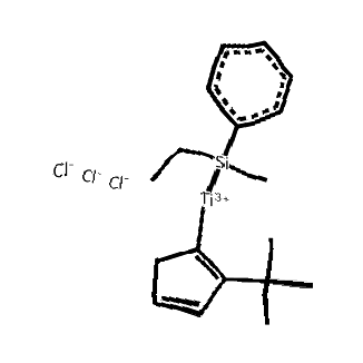 CC[Si](C)([Ti+3][C]1=C(C(C)(C)C)C=CC1)c1ccccc1.[Cl-].[Cl-].[Cl-]